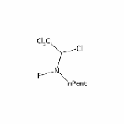 CCCCCN(F)C(Cl)C(Cl)(Cl)Cl